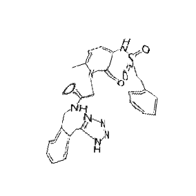 Cc1ccc(NS(=O)(=O)Cc2ccccc2)c(=O)n1CC(=O)NCc1ccccc1-c1nnn[nH]1